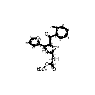 Cc1ccccc1C(=O)c1sc(NC(=O)OC(C)(C)C)nc1-c1ccco1